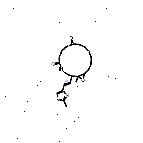 Cc1nc(/C=C/C2CNC(=O)CCCC(=O)CCCCCCC3OC23C)cs1